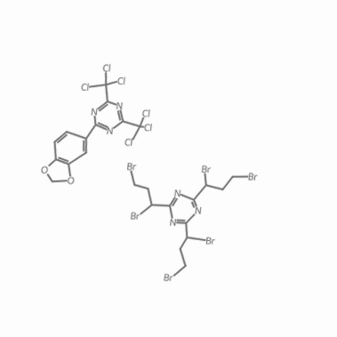 BrCCC(Br)c1nc(C(Br)CCBr)nc(C(Br)CCBr)n1.ClC(Cl)(Cl)c1nc(-c2ccc3c(c2)OCO3)nc(C(Cl)(Cl)Cl)n1